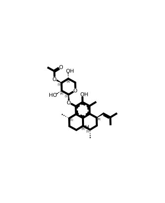 CC(=O)O[C@@H]1[C@@H](O)[C@H](Oc2c(O)c(C)c3c4c2[C@@H](C)CC[C@@H]4[C@@H](C)C[C@@H]3C=C(C)C)OC[C@H]1O